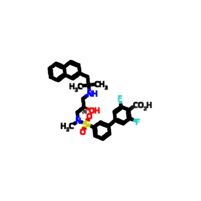 CN(C[C@H](O)CNC(C)(C)Cc1ccc2ccccc2c1)S(=O)(=O)c1cccc(-c2cc(F)c(C(=O)O)c(F)c2)c1